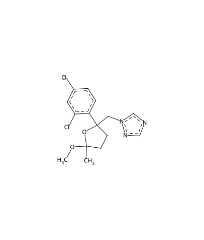 COC1(C)CCC(Cn2cncn2)(c2ccc(Cl)cc2Cl)O1